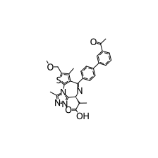 COCc1sc2c(c1C)C(c1ccc(-c3cccc(C(C)=O)c3)cc1)=N[C@@H](C(C)C(=O)O)c1nnc(C)n1-2